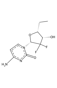 CC[C@H]1O[C@@H](n2ccc(N)nc2=O)C(F)(F)[C@H]1O